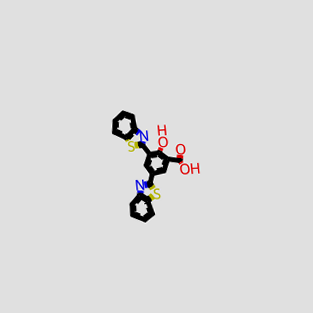 O=C(O)c1cc(-c2nc3ccccc3s2)cc(-c2nc3ccccc3s2)c1O